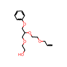 C=CCOCCOC(COCCO)COc1ccccc1